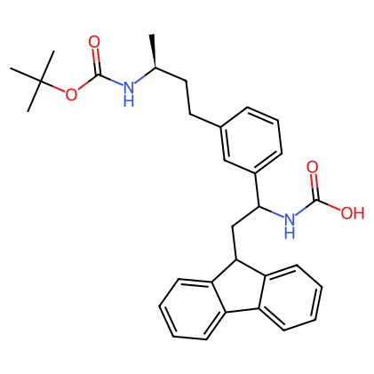 C[C@@H](CCc1cccc(C(CC2c3ccccc3-c3ccccc32)NC(=O)O)c1)NC(=O)OC(C)(C)C